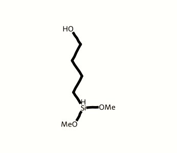 CO[SiH](CCCCO)OC